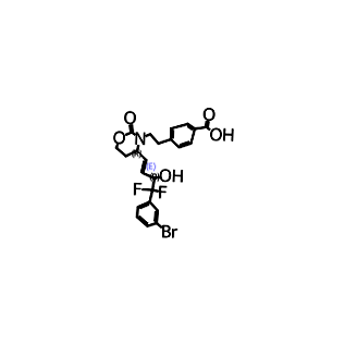 O=C(O)c1ccc(CCN2C(=O)OCC[C@@H]2/C=C/[C@@H](O)C(F)(F)c2cccc(Br)c2)cc1